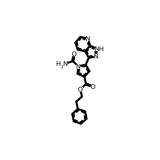 NC(=O)n1cc(C(=O)OCCc2ccccc2)cc1-c1n[nH]c2ncccc12